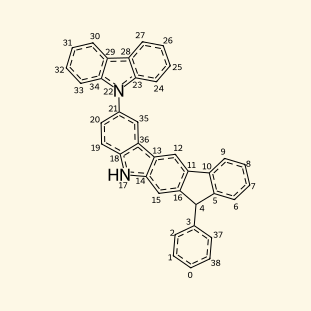 c1ccc(C2c3ccccc3-c3cc4c(cc32)[nH]c2ccc(-n3c5ccccc5c5ccccc53)cc24)cc1